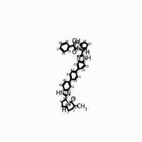 C[C@H]1CC[C@H]2CC[C@@H](c3nc4cc(-c5ccc(-c6ccc7[nH]c(C8[C@@H]9CC[C@@H](C9)N8C(=O)[C@H](C)c8ccccc8)nc7c6)cc5)ccc4[nH]3)N2C1=O